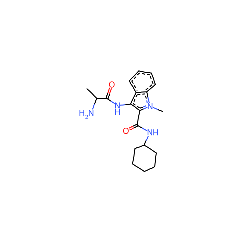 CC(N)C(=O)Nc1c(C(=O)NC2CCCCC2)n(C)c2ccccc12